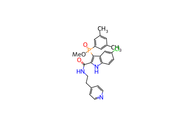 COP(=O)(c1cc(C)cc(C)c1)c1c(C(=O)NCCc2ccncc2)[nH]c2ccc(Cl)cc12